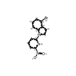 O=[N+]([O-])c1cccc(-n2ccc3c(Br)cccc32)n1